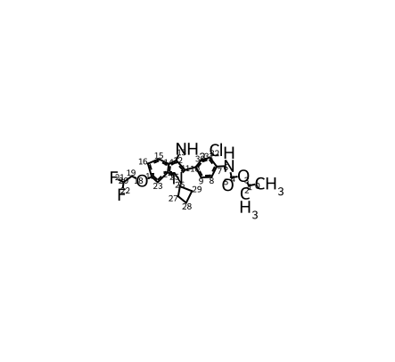 CC(C)OC(=O)Nc1ccc(-c2c(N)c3ccc(OCC(F)F)cc3n2C2CCC2)cc1Cl